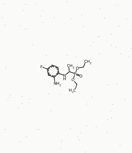 CCOP(=O)(OCC)C(C)Nc1ccc(F)cc1N